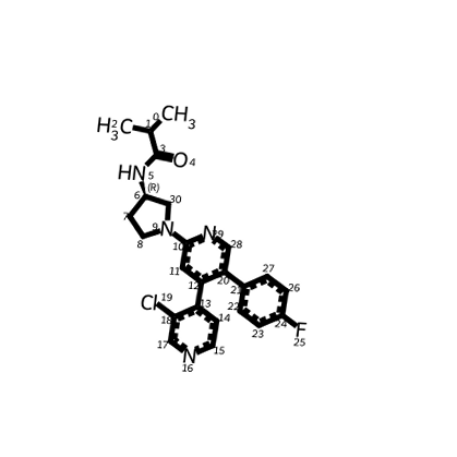 CC(C)C(=O)N[C@@H]1CCN(c2cc(-c3ccncc3Cl)c(-c3ccc(F)cc3)cn2)C1